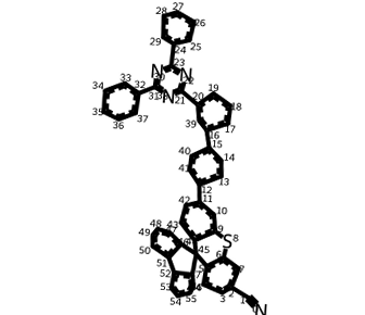 N#Cc1ccc2c(c1)Sc1cc(-c3ccc(-c4cccc(-c5nc(-c6ccccc6)nc(-c6ccccc6)n5)c4)cc3)ccc1C21c2ccccc2-c2ccccc21